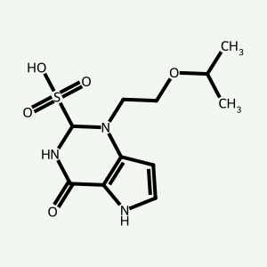 CC(C)OCCN1c2cc[nH]c2C(=O)NC1S(=O)(=O)O